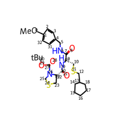 COc1ccc(CNC(=O)[C@H](CSCC2CCCCC2)NC(=O)[C@@H]2CSCN2C(=O)OC(C)(C)C)cc1